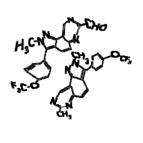 Cc1ncc2c(ccc3c(-c4ccc(OC(F)(F)F)cc4)n(C)nc32)n1.Cn1nc2c(ccc3nc(C=O)ncc32)c1-c1ccc(OC(F)(F)F)cc1